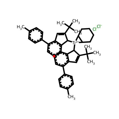 Cc1ccc(-c2cccc3c2C=C(C(C)(C)C)[CH]3[Ti+2]2([CH]3C(C(C)(C)C)=Cc4c(-c5ccc(C)cc5)cccc43)[CH]3CCCC[CH]32)cc1.[Cl-].[Cl-]